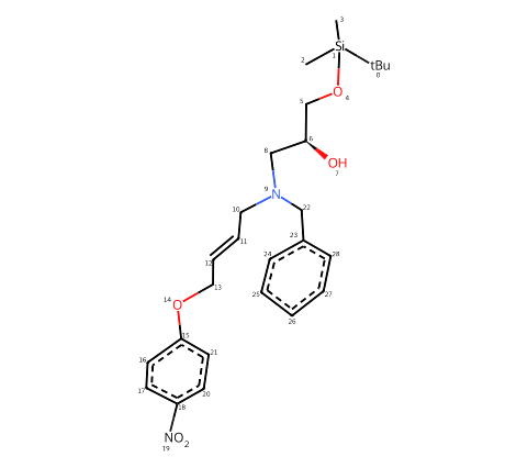 CC(C)(C)[Si](C)(C)OC[C@@H](O)CN(C/C=C/COc1ccc([N+](=O)[O-])cc1)Cc1ccccc1